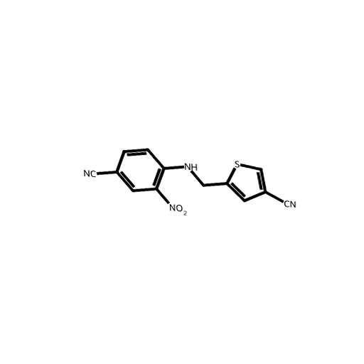 N#Cc1csc(CNc2ccc(C#N)cc2[N+](=O)[O-])c1